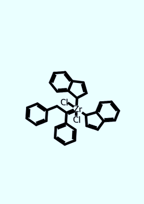 [Cl][Zr]([Cl])(=[C](Cc1ccccc1)c1ccccc1)([CH]1C=Cc2ccccc21)[CH]1C=Cc2ccccc21